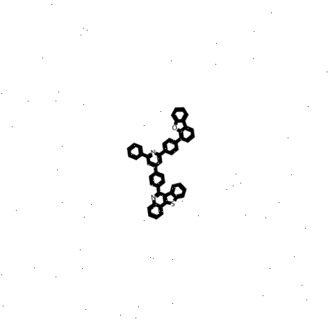 c1ccc(-c2cc(-c3ccc(-c4nc5ccccc5c5sc6ccccc6c45)cc3)cc(-c3ccc(-c4cccc5c4oc4ccccc45)cc3)n2)cc1